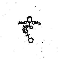 COc1cccc(OC)c1C(=O)Nc1cc(C(C)(C)C2CCCCC2)no1